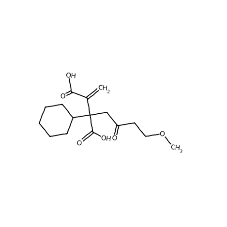 C=C(C(=O)O)C(CC(=O)CCOC)(C(=O)O)C1CCCCC1